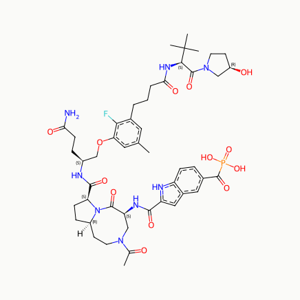 CC(=O)N1CC[C@H]2CC[C@@H](C(=O)N[C@@H](CCC(N)=O)COc3cc(C)cc(CCCC(=O)N[C@H](C(=O)N4CC[C@@H](O)C4)C(C)(C)C)c3F)N2C(=O)[C@@H](NC(=O)c2cc3cc(C(=O)P(=O)(O)O)ccc3[nH]2)C1